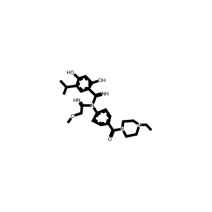 CCN1CCN(C(=O)c2ccc(N(C(=N)COC)C(=N)c3cc(C(C)C)c(O)cc3O)cc2)CC1